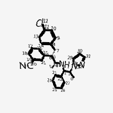 CC(C(N[C@@H](C)[C@@H](Cc1ccc(Cl)cc1)c1cccc(C#N)c1)c1ccccc1)n1cccn1